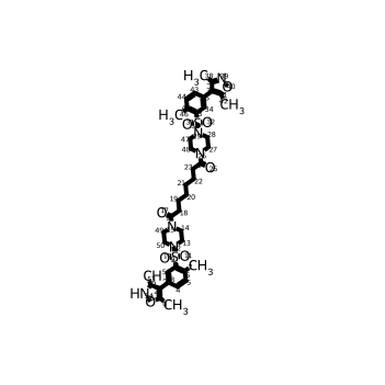 CC1=C(c2ccc(C)c(S(=O)(=O)N3CCN(C(=O)CCCCCCC(=O)N4CCN(S(=O)(=O)c5cc(-c6c(C)noc6C)ccc5C)CC4)CC3)c2)C(C)NO1